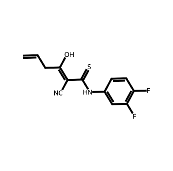 C=CC/C(O)=C(\C#N)C(=S)Nc1ccc(F)c(F)c1